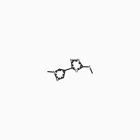 CSc1nnc(-c2cnn(C)c2)o1